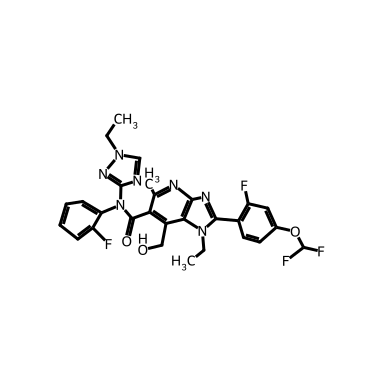 CCn1cnc(N(C(=O)c2c(C)nc3nc(-c4ccc(OC(F)F)cc4F)n(CC)c3c2CO)c2ccccc2F)n1